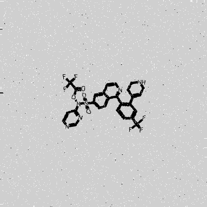 O=C(ON(c1ccncn1)S(=O)(=O)c1ccc2c(-c3ccc(C(F)(F)F)cc3C3=CCNCC3)nccc2c1)C(F)(F)F